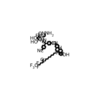 C[C@]12CC[C@@H]3c4ccc(O)cc4C[C@@H](CCCCCCCCC[S+]([O-])CCCC(F)(F)C(F)(F)F)[C@H]3[C@@H]1CC[C@@H]2O.N#Cc1ccc(C(c2ccc(C#N)cc2)n2cncn2)cc1.Nc1ccn([C@@H]2O[C@H](CO)[C@@H](O)C2(F)F)c(=O)n1